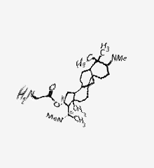 CNC1CCC23CC24CCC2(C)C(C[C@@H](OC(=O)CN)C2[C@H](C)NC)C4CCC3C1(C)C